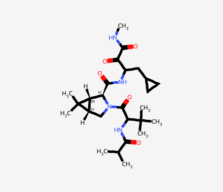 CNC(=O)C(=O)C(CC1CC1)NC(=O)[C@@H]1[C@@H]2[C@H](CN1C(=O)C(NC(=O)C(C)C)C(C)(C)C)C2(C)C